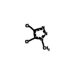 Cn1nnc(Cl)c1Cl